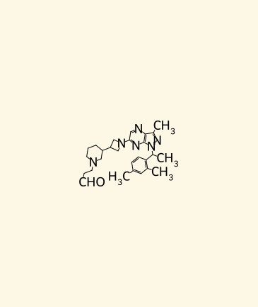 Cc1ccc(C(C)n2nc(C)c3ncc(N4CC(C5CCCN(CCC=O)C5)C4)nc32)c(C)c1